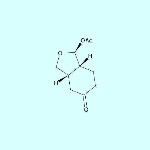 CC(=O)O[C@@H]1OC[C@H]2CC(=O)CC[C@H]21